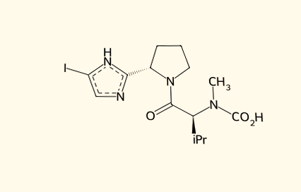 CC(C)[C@@H](C(=O)N1CCC[C@H]1c1ncc(I)[nH]1)N(C)C(=O)O